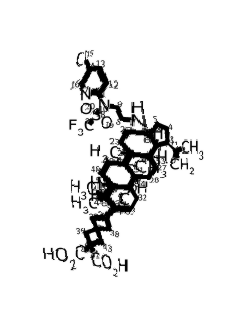 C=C(C)[C@@H]1CC[C@]2(NCCN(c3ccc(Cl)cn3)S(=O)(=O)C(F)(F)F)CC[C@]3(C)[C@H](CC[C@@H]4[C@@]5(C)CC=C(C6=CC7(C6)CC(C(=O)O)(C(=O)O)C7)C(C)(C)[C@@H]5CC[C@]43C)[C@@H]12